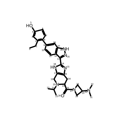 CCc1cc(O)ccc1-c1ccc2c(-c3nc4c([nH]3)CN(C(C)C)C(C(=O)N3CC(N(C)C)C3)C4)n[nH]c2c1